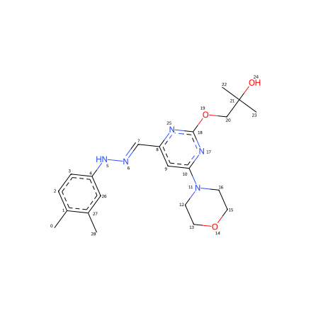 Cc1ccc(N/N=C/c2cc(N3CCOCC3)nc(OCC(C)(C)O)n2)cc1C